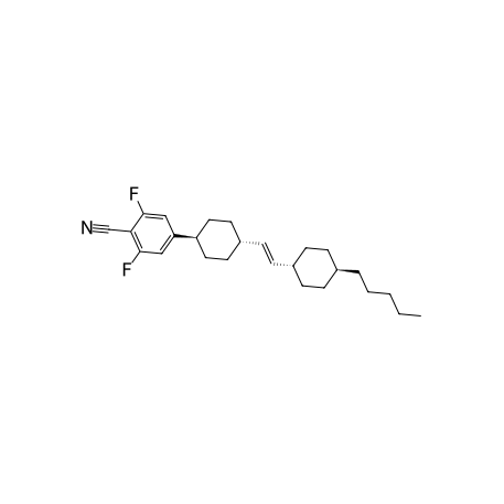 CCCCC[C@H]1CC[C@H](C=C[C@H]2CC[C@H](c3cc(F)c(C#N)c(F)c3)CC2)CC1